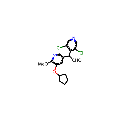 COc1ncc(C(C=O)c2c(Cl)cncc2Cl)cc1OC1CCCC1